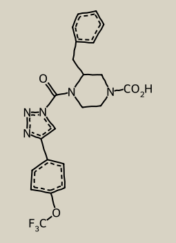 O=C(O)N1CCN(C(=O)n2cc(-c3ccc(OC(F)(F)F)cc3)nn2)C(Cc2ccccc2)C1